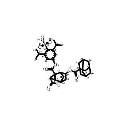 CC(C)c1cc(OC(=O)C23C4CC5C(OC(=O)C2C53)C4OC(=O)C23CC4CC(CC(C4)C2)C3)cc(C(C)C)c1S(=O)(=O)O